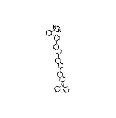 c1ccc2c(c1)c1cc(-c3ccc4cc(-c5ccc6cc(-c7ccc8cc(-n9c%10ccccc%10c%10ccccc%109)ccc8c7)ccc6c5)ccc4c3)ccc1c1nccnc21